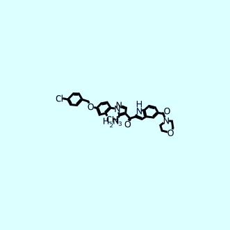 Cc1cc(OCc2ccc(Cl)cc2)ccc1-n1ncc(C(=O)c2cc3cc(C(=O)N4CCOCC4)ccc3[nH]2)c1N